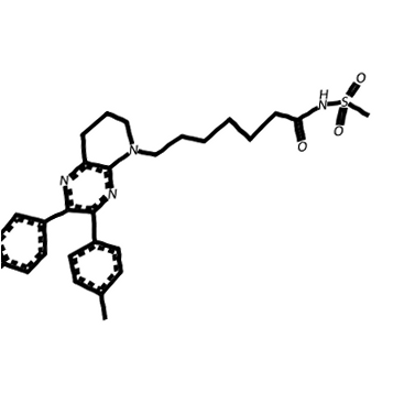 Cc1ccc(-c2nc3c(nc2-c2ccc(C)cc2)N(CCCCCCC(=O)NS(C)(=O)=O)CCC3)cc1